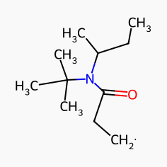 [CH2]CC(=O)N(C(C)CC)C(C)(C)C